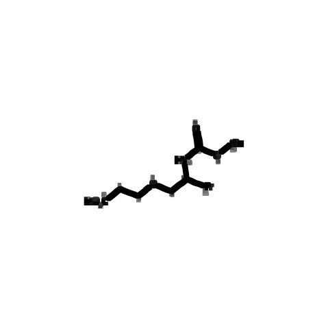 CCOC(=O)CCOCC(NC(=O)OC(C)(C)C)C(C)C